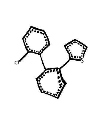 Clc1ccccc1-c1[c]cccc1-c1cccs1